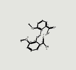 COc1cccc(C(=O)O)c1SSc1c(OC)cccc1C(=O)O